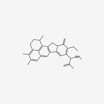 C=C(C)C(N)C1=C(CC)C(=C)C2Cc3c(cc4cc(C)c(C)c5c4c3C(C)CC5)C2=C1